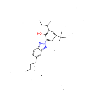 CCCCc1ccc2nn(-c3cc(C(C)(C)C)cc(C(C)CC)c3O)nc2c1